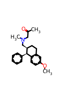 COc1ccc2c(c1)CC[C@H](CN(C)CC(C)=O)[C@@H]2c1ccccc1